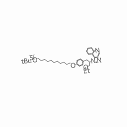 CCOCC(Cc1ccc(OCCCCCCCCCCCO[Si](C)(C)C(C)(C)C)cc1)n1cnc2cnc3ccccc3c21